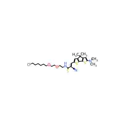 CN(C)c1cc2c(s1)-c1sc(/C=C(\C#N)C(=S)NCCOCCOCCCCCCCl)cc1C2(C)C